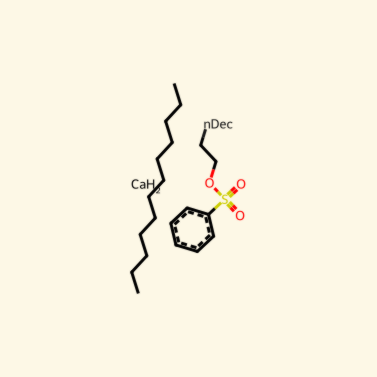 CCCCCCCCCCCC.CCCCCCCCCCCCOS(=O)(=O)c1ccccc1.[CaH2]